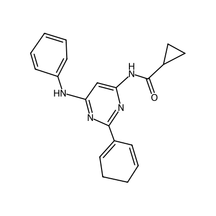 O=C(Nc1cc(Nc2ccccc2)nc(C2=CCCC=C2)n1)C1CC1